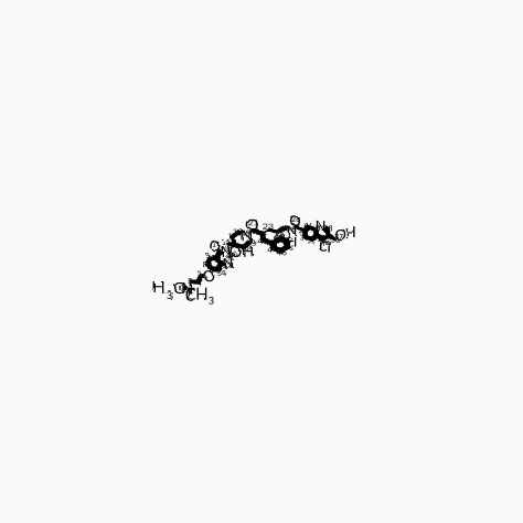 CN(C)CCCOc1ccc2c(=O)n(CC3(O)CCN(C(=O)[C@@H](CCCNC(=O)c4ccc5c(Cl)c(CO)cnc5c4)Cc4ccccc4)CC3)cnc2c1